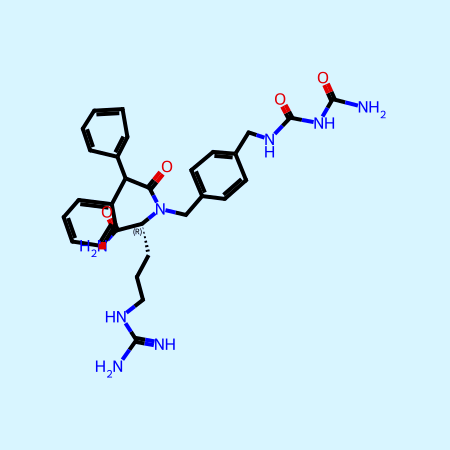 N=C(N)NCCC[C@H](C(N)=O)N(Cc1ccc(CNC(=O)NC(N)=O)cc1)C(=O)C(c1ccccc1)c1ccccc1